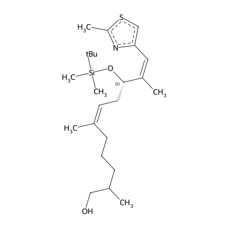 CC(=CC[C@H](O[Si](C)(C)C(C)(C)C)C(C)=Cc1csc(C)n1)CCCC(C)CO